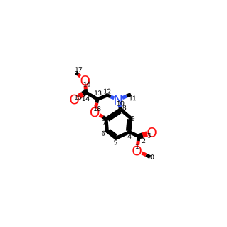 COC(=O)c1ccc2c(c1)N(C)CC(C(=O)OC)O2